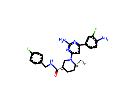 C[C@@H]1CC[C@H](C(=O)NCc2ccc(F)cc2)CN1c1cc(-c2ccc(N)c(F)c2)nc(N)n1